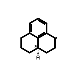 [C]1CC[C@H]2CCCc3cccc1c32